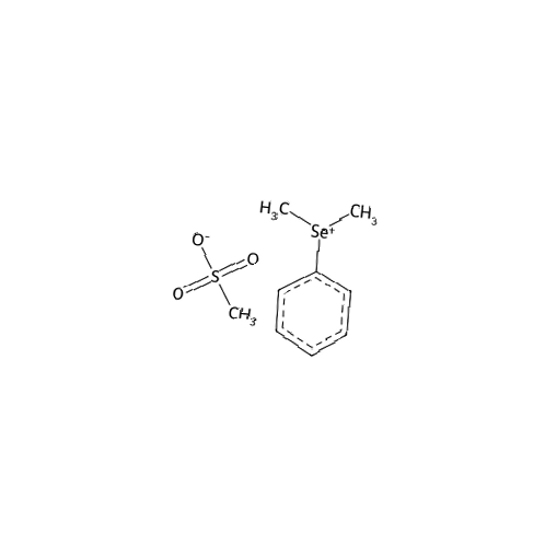 CS(=O)(=O)[O-].C[Se+](C)c1ccccc1